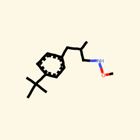 CONCC(C)Cc1ccc(C(C)(C)C)cc1